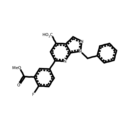 COC(=O)c1cc(-c2cc(C(=O)O)c3cnn(Cc4ccccc4)c3n2)ccc1F